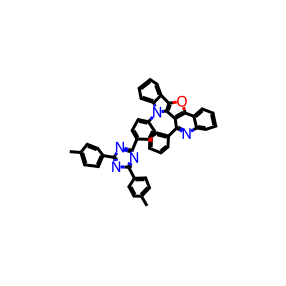 Cc1ccc(-c2nc(-c3ccc(C)cc3)nc(-c3ccc(-n4c5ccccc5c5oc6c7ccccc7nc(-c7ccccc7)c6c54)cc3)n2)cc1